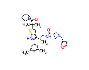 Cc1cc(C)cc(-c2[nH]c3sc(C(C)(C)C(=O)N4C5CCC4CC5)cc3c2[C@H](C)CNC(=O)C2CN(Cc3ccoc3)C2)c1